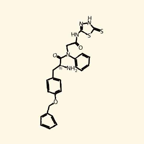 N[C@@H](Cc1ccc(OCc2ccccc2)cc1)C(=O)N(CC(=O)Nc1n[nH]c(=S)s1)c1ccccc1